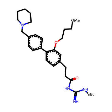 CCCCNC(=N)NC(=O)CCc1ccc(-c2ccc(CN3CCCCC3)cc2)c(OCCCOC)c1